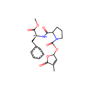 COC(=O)[C@H](Cc1ccccc1)NC(=O)C1CCCN1C(=O)OC1C=C(C)C(=O)O1